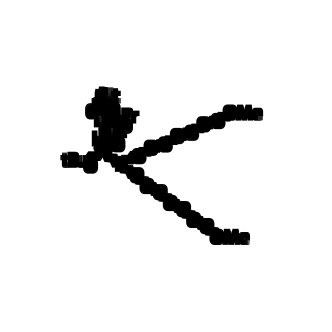 CCC(C)(C)C1CC(=O)N(CC(=O)N[C@H](C(=O)N[C@@H](C)C(=O)Nc2ccc(CCC(=O)C(C)(C)C)c(CCCN(CCCOCCOCCOCCOCCOCCOCCOCCOC)CCCOCCOCCOCCOCCOCCOCCOCCOC)c2)C(C)C)C1=O